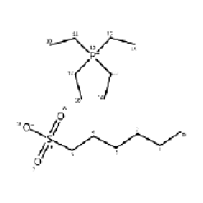 CCCCCCS(=O)(=O)[O-].CC[P+](CC)(CC)CC